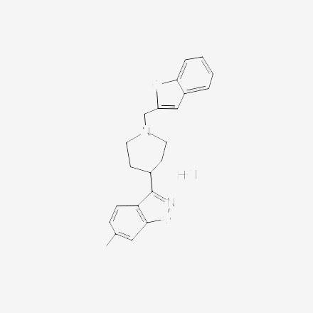 Cl.Fc1ccc2c(C3CCN(Cc4cc5ccccc5o4)CC3)noc2c1